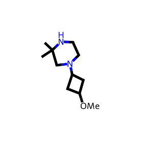 COC1CC(N2CCNC(C)(C)C2)C1